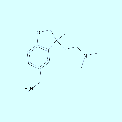 CN(C)CCC1(C)COc2ccc(CN)cc21